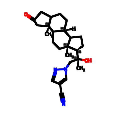 C[C@]12CC(=O)CC1CC[C@@H]1C2CC[C@@]2(C)C1CC[C@@H]2[C@@](C)(O)Cn1cc(C#N)cn1